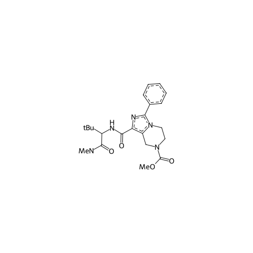 CNC(=O)C(NC(=O)c1nc(-c2ccccc2)n2c1CN(C(=O)OC)CC2)C(C)(C)C